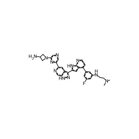 CN(C)CCNc1cc(F)cc(-c2ccnc3[nH]c(-c4n[nH]c5cnc(-c6cncc(N7CC(N)C7)n6)cc45)cc23)c1